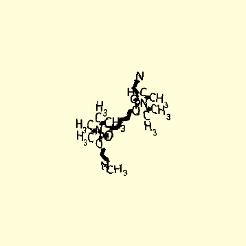 C/N=C/CCOP(OCCCCCOP(OCCC#N)N(C(C)C)C(C)C)N(C(C)C)C(C)C